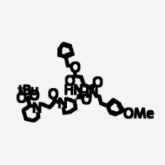 COc1ccc(CCNC(=O)C(CC(=O)OCc2ccccc2)NC(=O)[C@@H]2CCCN(C(=O)CCN3CCCCC3C(=O)OC(C)(C)C)C2)cc1